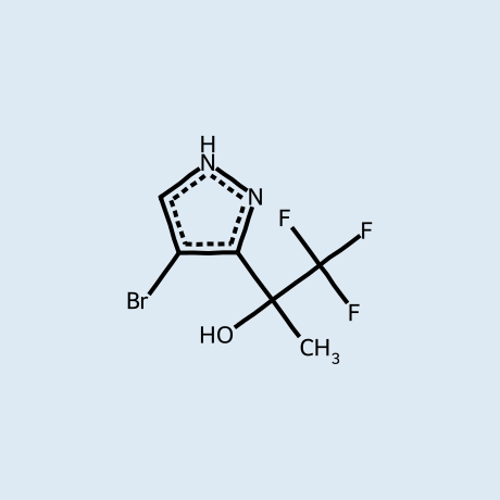 CC(O)(c1n[nH]cc1Br)C(F)(F)F